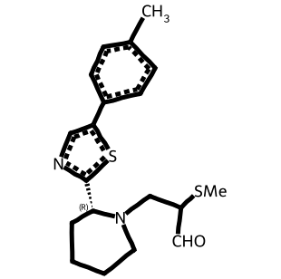 CSC(C=O)CN1CCCC[C@@H]1c1ncc(-c2ccc(C)cc2)s1